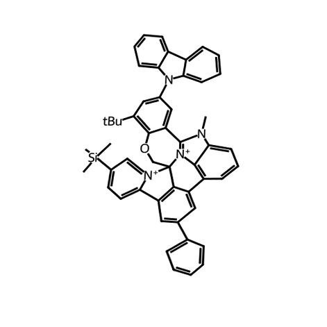 Cn1c2[n+]3c4c(cccc41)-c1cc(-c4ccccc4)cc4c1C3(COc1c-2cc(-n2c3ccccc3c3ccccc32)cc1C(C)(C)C)[n+]1cc([Si](C)(C)C)ccc1-4